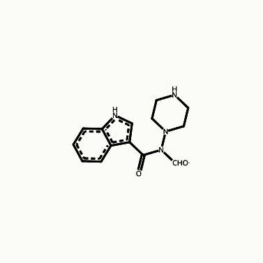 O=[C]N(C(=O)c1c[nH]c2ccccc12)N1CCNCC1